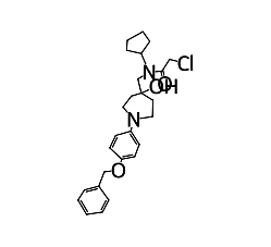 O=C(CCl)N(CC1(O)CCN(c2ccc(OCc3ccccc3)cc2)CC1)C1CCCC1